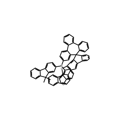 CC1(C)c2ccccc2-c2ccc(N(c3ccc4c(c3)C3(c5ccccc5-c5ccccc5-4)c4ccccc4-c4cc5c(cc43)oc3ccccc35)c3cccc4oc5ccccc5c34)cc21